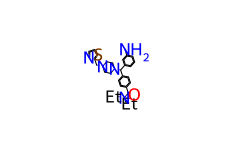 CCN(CC)C(=O)c1ccc(C(c2cccc(N)c2)N2CCN(Cc3nccs3)CC2)cc1